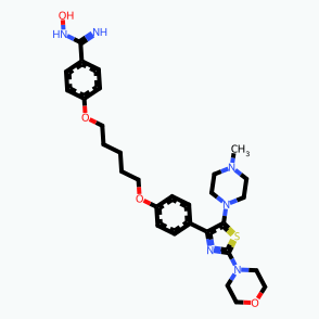 CN1CCN(c2sc(N3CCOCC3)nc2-c2ccc(OCCCCCOc3ccc(C(=N)NO)cc3)cc2)CC1